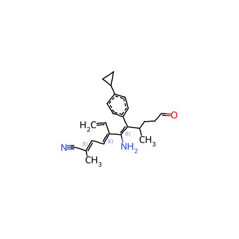 C=CC(=C\C=C(/C)C#N)/C(N)=C(\c1ccc(C2CC2)cc1)C(C)CCC=O